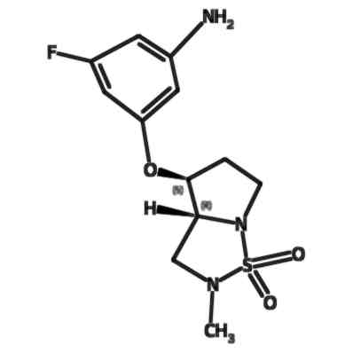 CN1C[C@@H]2[C@@H](Oc3cc(N)cc(F)c3)CCN2S1(=O)=O